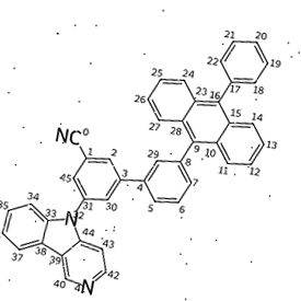 N#Cc1cc(-c2cccc(-c3c4ccccc4c(-c4ccccc4)c4ccccc34)c2)cc(-n2c3ccccc3c3cnccc32)c1